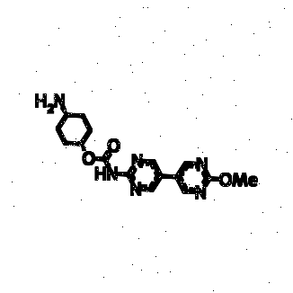 COc1ncc(-c2cnc(NC(=O)O[C@H]3CC[C@H](N)CC3)nc2)cn1